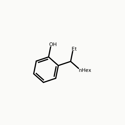 CCCCCCC(CC)c1ccccc1O